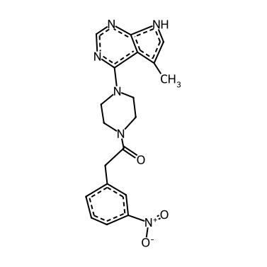 Cc1c[nH]c2ncnc(N3CCN(C(=O)Cc4cccc([N+](=O)[O-])c4)CC3)c12